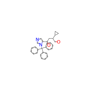 O=CC(CC(=O)c1cncn1C(c1ccccc1)(c1ccccc1)c1ccccc1)C1CC1